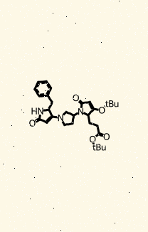 CC(C)(C)OC(=O)CCC1C(OC(C)(C)C)=CC(=O)N1C1CCN(C2=CC(=O)NC2Cc2ccccc2)C1